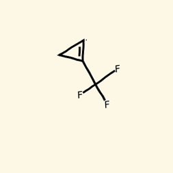 FC(F)(F)C1=[C]C1